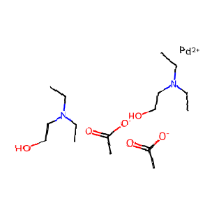 CC(=O)[O-].CC(=O)[O-].CCN(CC)CCO.CCN(CC)CCO.[Pd+2]